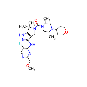 COCc1ncc(F)c(Nc2n[nH]c3c2CN(C(=O)N2C[C@@H](C)N(C4CCOCC4)C[C@@H]2C)C3(C)C)n1